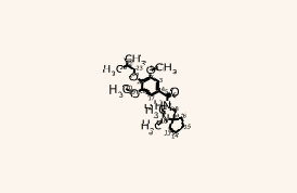 COc1cc(C(=O)NCC2(N(C)C)CCCC2)cc(OC)c1OCC(C)C